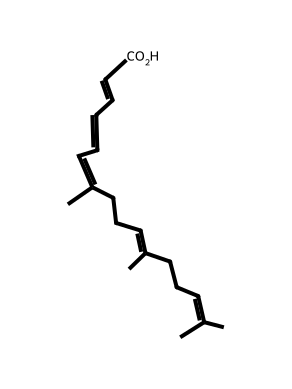 CC(C)=CCC/C(C)=C/CC\C(C)=C/C=C/C=C/C(=O)O